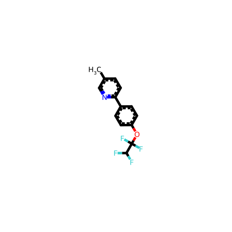 Cc1ccc(-c2ccc(OC(F)(F)C(F)F)cc2)nc1